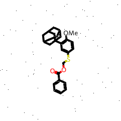 COc1ccc(SCOC(=O)c2ccccc2)cc1C12CC3CC(CC(C3)C1)C2